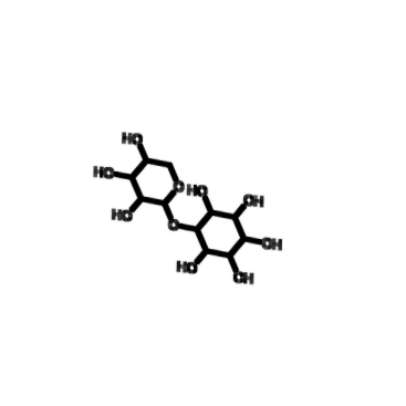 OC1COC(OC2C(O)C(O)C(O)C(O)C2O)C(O)C1O